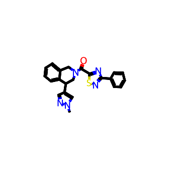 Cn1cc(C2CN(C(=O)c3nc(-c4ccccc4)ns3)Cc3ccccc32)cn1